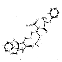 COC(=O)N(C(=O)[C@@H](N)Cc1ccccc1)C(CCCN1C(=N)NC(CC(C)C)(c2ccccc2)C1=O)CC1CC1